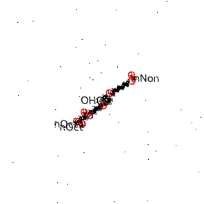 CCCCCCCCCC(=O)OCCCCCCCCOc1ccc(OCCCCCOC(=O)CCC(OCCCCCCCC)OCCCCCCCC)c(C=O)c1